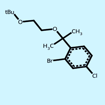 CC(C)(C)OCCOC(C)(C)c1ccc(Cl)cc1Br